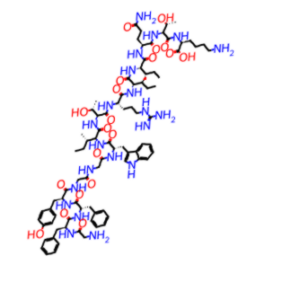 CC[C@H](C)[C@H](NC(=O)[C@H](Cc1c[nH]c2ccccc12)NC(=O)CNC(=O)CNC(=O)[C@H](Cc1ccc(O)cc1)NC(=O)[C@H](Cc1ccccc1)NC(=O)[C@H](Cc1ccccc1)NC(=O)CN)C(=O)N[C@H](C(=O)N[C@@H](CCCNC(=N)N)C(=O)N[C@H](C(=O)N[C@H](C(=O)N[C@@H](CCC(N)=O)C(=O)N[C@H](C(=O)N[C@@H](CCCCN)C(=O)O)[C@@H](C)O)[C@@H](C)CC)[C@@H](C)CC)[C@@H](C)O